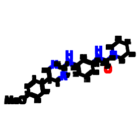 COc1ccc(-c2cnc(Nc3cccc(NC(=O)N4CCCCC4)c3)nc2)cc1